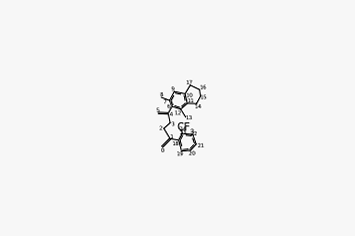 C=C(CCC(=C)c1c(C)cc2c(c1C)CCCC2)c1ccccc1C(F)(F)F